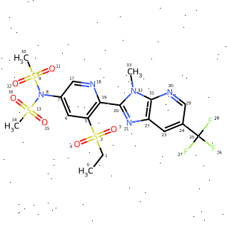 CCS(=O)(=O)c1cc(N(S(C)(=O)=O)S(C)(=O)=O)cnc1-c1nc2cc(C(F)(F)F)cnc2n1C